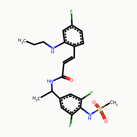 CCCNc1cc(F)ccc1C=CC(=O)NC(C)c1cc(F)c(NS(C)(=O)=O)c(F)c1